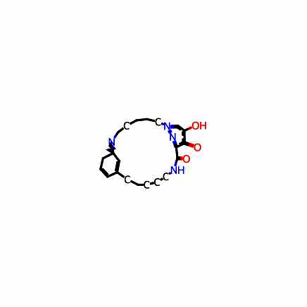 O=C1NCCCCCC2=CC3(CC=C2)CC=CN3CCCCCn2cc(O)c(=O)c1n2